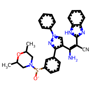 CC1CN([S+]([O-])c2cccc(-c3nn(-c4ccccc4)cc3/C(N)=C(/C#N)c3nc4ccccc4[nH]3)c2)CC(C)O1